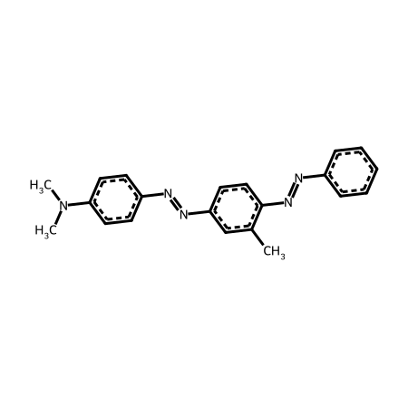 Cc1cc(N=Nc2ccc(N(C)C)cc2)ccc1/N=N/c1ccccc1